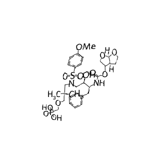 COc1ccc(S(=O)(=O)N(C[C@@H](O)[C@H](Cc2ccccc2)NC(=O)OC2CO[C@H]3OCC[C@@H]23)CC(C)(C)COCP(=O)(O)O)cc1